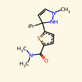 CC(C)C1(c2ccc(C(=O)N(C)C)s2)C=CN(C)N1